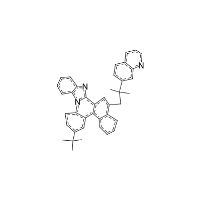 CC(C)(C)c1ccc2c(c1)c1c3ccccc3c(CC(C)(C)c3ccc4cccnc4c3)cc1c1nc3ccccc3n21